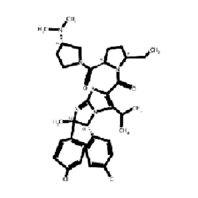 CC[C@@H]1CC[C@H](C(=O)N2CC[C@H](N(C)C)C2)N1C(=O)C1=C(C(C)C)N2C(=N[C@@](C)(c3ccc(Cl)cc3)[C@H]2c2ccc(Cl)cc2)S1